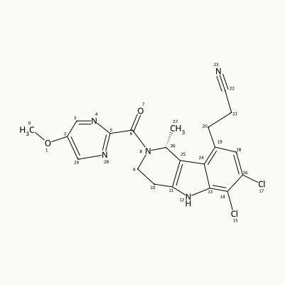 COc1cnc(C(=O)N2CCc3[nH]c4c(Cl)c(Cl)cc(CCC#N)c4c3[C@H]2C)nc1